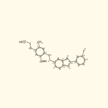 COc1cc(OCC(=O)O)c(C)cc1SCc1ccc2oc(-c3cccc(F)c3)nc2c1